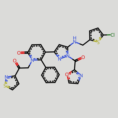 O=C(Cn1c(-c2ccccc2)c(-c2cc(NCc3ccc(Cl)s3)n(C(=O)c3ncco3)n2)ccc1=O)c1ccsn1